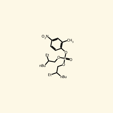 CCCCC(CC)COP(=O)(OCC(CC)CCCC)Oc1ccc([N+](=O)[O-])cc1C